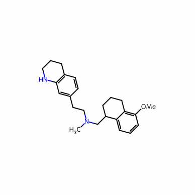 COc1cccc2c1CCCC2CN(C)CCc1ccc2c(c1)NCCC2